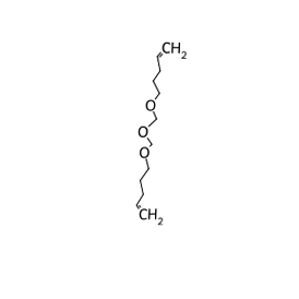 C=CCCCOCOCOCCCC=C